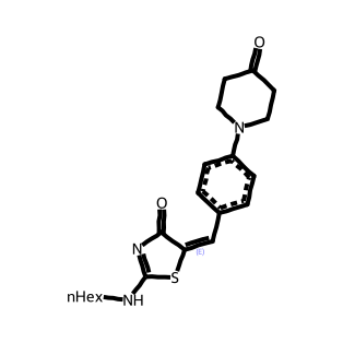 CCCCCCNC1=NC(=O)/C(=C\c2ccc(N3CCC(=O)CC3)cc2)S1